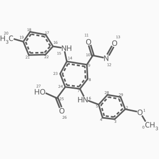 COc1ccc(Nc2cc(C(=O)N=O)c(Nc3ccc(C)cc3)cc2C(=O)O)cc1